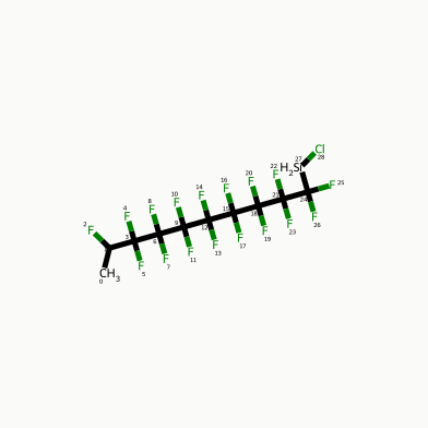 CC(F)C(F)(F)C(F)(F)C(F)(F)C(F)(F)C(F)(F)C(F)(F)C(F)(F)C(F)(F)[SiH2]Cl